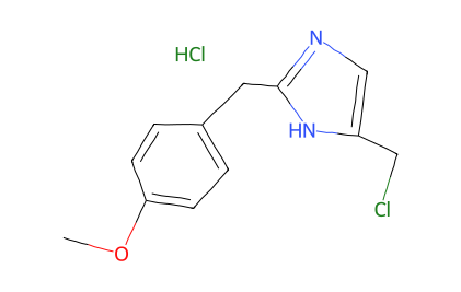 COc1ccc(Cc2ncc(CCl)[nH]2)cc1.Cl